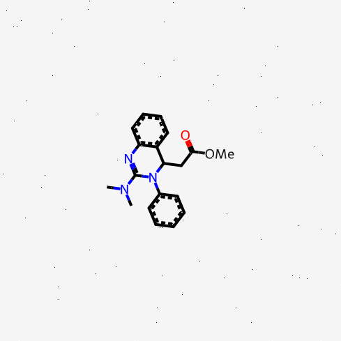 COC(=O)CC1c2ccccc2N=C(N(C)C)N1c1ccccc1